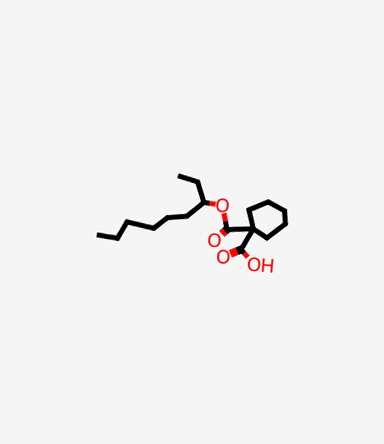 CCCCCCC(CC)OC(=O)C1(C(=O)O)CCCCC1